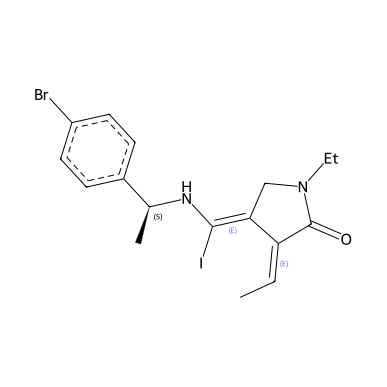 C/C=C1/C(=O)N(CC)C/C1=C(/I)N[C@@H](C)c1ccc(Br)cc1